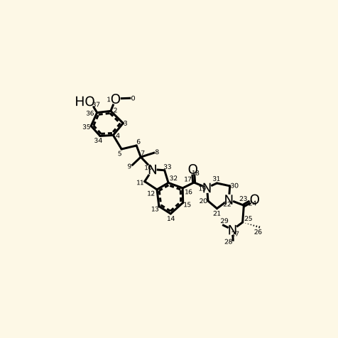 COc1cc(CCC(C)(C)N2Cc3cccc(C(=O)N4CCN(C(=O)[C@H](C)N(C)C)CC4)c3C2)ccc1O